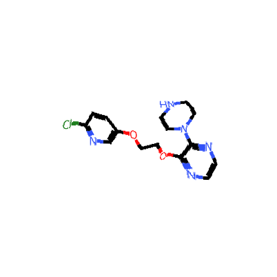 Clc1ccc(OCCOc2nccnc2N2CCNCC2)cn1